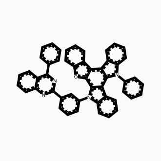 c1ccc(-c2nc(-c3cccc(-n4c5ccccc5c5c4c4oc6ccccc6c4c4c6ccccc6n(-c6ccccc6)c45)c3)nc3ccccc23)cc1